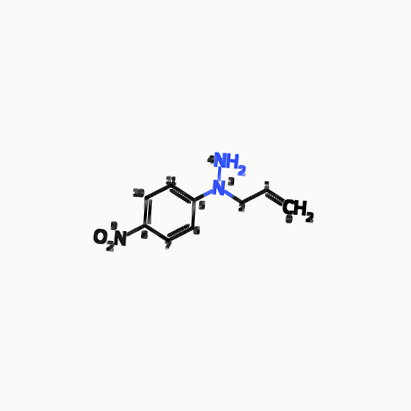 C=CCN(N)c1ccc([N+](=O)[O-])cc1